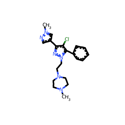 CN1CCN(CCn2nc(-c3cnn(C)c3)c(Cl)c2-c2ccccc2)CC1